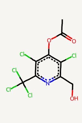 CC(=O)Oc1c(Cl)c(CO)nc(C(Cl)(Cl)Cl)c1Cl